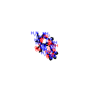 CC[C@H](C)[C@H](N)C(=O)N[C@@H](CCC(=O)O)C(=O)N[C@@H](Cc1c[nH]c2ccccc12)C(=O)N[C@@H](CC(C)C)C(=O)N[C@@H](CCCCN)C(=O)N[C@@H](CC(N)=O)C(=O)NCC(=O)NCC(=O)N1CCC[C@H]1C(=O)N[C@@H](CO)C(=O)N[C@@H](CO)C(=O)NCC(=O)N[C@@H](C)C(=O)N1CCC[C@H]1C(=O)N1CCC[C@H]1C(=O)N1CCC[C@H]1C(=O)N[C@@H](CO)C(N)=O